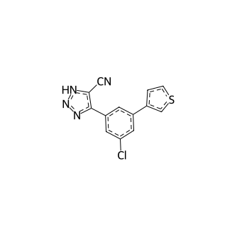 N#Cc1[nH]nnc1-c1cc(Cl)cc(-c2ccsc2)c1